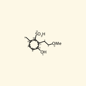 COCCc1c(O)ccc(C)c1S(=O)(=O)O